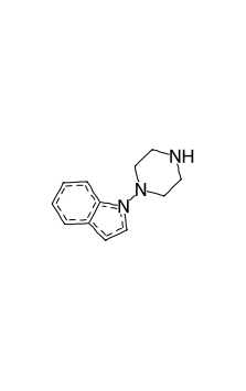 c1ccc2c(c1)ccn2N1CCNCC1